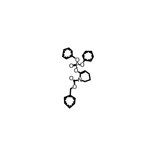 O=C(OCc1ccccc1)N1CCCC=C1OP(=O)(Oc1ccccc1)Oc1ccccc1